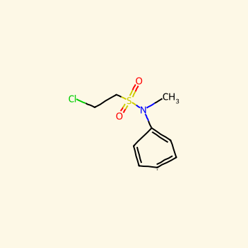 CN(c1cc[c]cc1)S(=O)(=O)CCCl